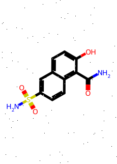 NC(=O)c1c(O)ccc2cc(S(N)(=O)=O)ccc12